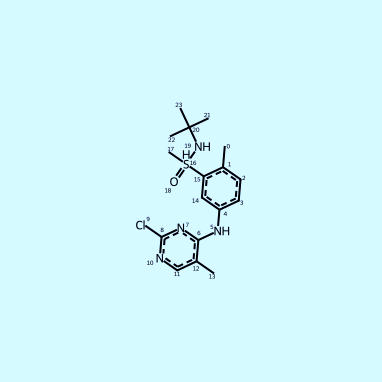 Cc1ccc(Nc2nc(Cl)ncc2C)cc1[SH](C)(=O)NC(C)(C)C